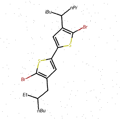 CCCCC(CC)Cc1cc(-c2cc(C(CCC)C(C)CC)c(Br)s2)sc1Br